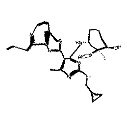 CCCc1nccc2sc(-c3c(C)nc(NCC4CC4)nc3N[C@@H]3CC[C@@H](O)[C@@]3(C)O)nc12